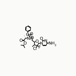 CC(C)OC(=O)[C@H](C)NP(=O)(OCC1OC(n2ccc(N)nc2=O)C(F)(Cl)C1C)Oc1ccccc1